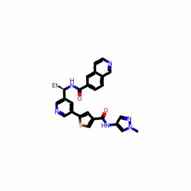 CC[C@@H](NC(=O)c1ccc2cnccc2c1)c1cncc(-c2cc(C(=O)Nc3cnn(C)c3)cs2)c1